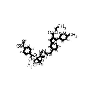 CCOC(=O)c1cc2cc(Cn3cc(C(CC)(OC(=O)c4ccc([N+](=O)[O-])cc4)C(F)(F)F)nn3)ccn2c1-c1ccc(C)nc1